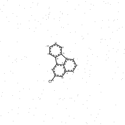 Clc1cc2c3c(cccc3c1)-c1ccccc1-2